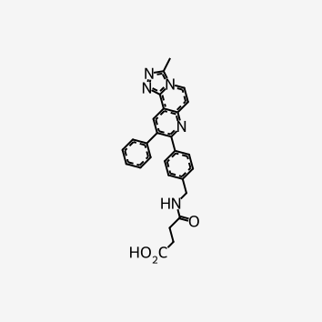 Cc1nnc2c3cc(-c4ccccc4)c(-c4ccc(CNC(=O)CCC(=O)O)cc4)nc3ccn12